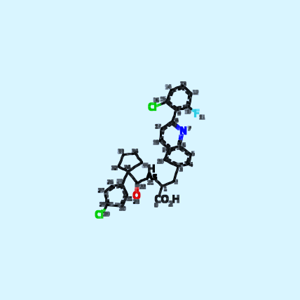 O=C(O)C(Cc1ccc2nc(-c3c(F)cccc3Cl)ccc2c1)[AsH]C(=O)C1(c2ccc(Cl)cc2)CCCC1